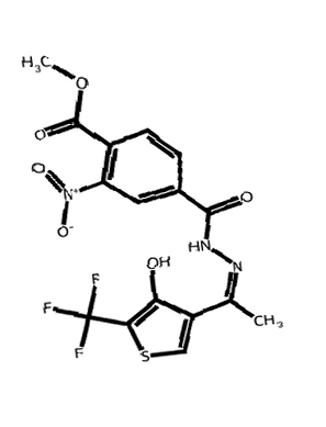 COC(=O)c1ccc(C(=O)NN=C(C)c2csc(C(F)(F)F)c2O)cc1[N+](=O)[O-]